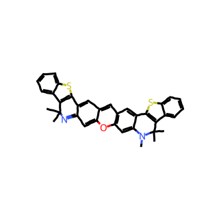 CN1c2cc3c(cc2-c2sc4ccccc4c2C1(C)C)C=c1cc2c(cc1O3)=NC(C)(C)c1c-2sc2ccccc12